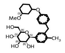 CO[C@H]1CCCC(Oc2ccc(Cc3cc([C@@H]4O[C@H](CO)[C@@H](O)[C@H](O)[C@H]4O)ccc3C)cc2)C1